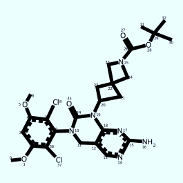 COc1cc(OC)c(Cl)c(N2Cc3cnc(N)nc3N(C3CC4(C3)CN(C(=O)OC(C)(C)C)C4)C2=O)c1Cl